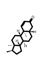 C[C@@H]1CC[C@H]2[C@@H]3CC[C@H]4CC(=O)C=C[C@]4(C)[C@H]3CC[C@]12C